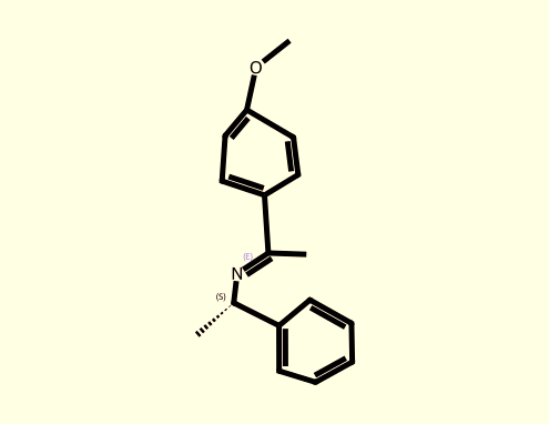 COc1ccc(/C(C)=N/[C@@H](C)c2ccccc2)cc1